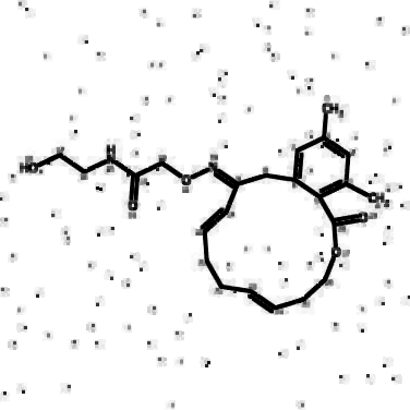 Cc1cc(C)c2c(c1)CC(=N/OCC(=O)NCCO)/C=C/CC/C=C/CCOC2=O